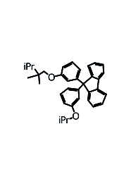 CC(C)Oc1cccc(C2(c3cccc(OCC(C)(C)C(C)C)c3)c3ccccc3-c3ccccc32)c1